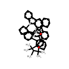 CC1C(C)(C)c2cccc(-c3ccccc3-n3c4ccccc4c4ccc5c6ccccc6n(-c6ccccc6-c6nc(-c7ccccc7)nc(-c7ccccc7)n6)c5c43)c2C1(C)C